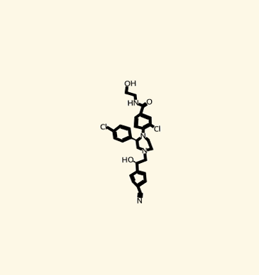 N#Cc1ccc([C@H](O)CN2CCN(c3ccc(C(=O)NCCO)cc3Cl)[C@H](c3ccc(Cl)cc3)C2)cc1